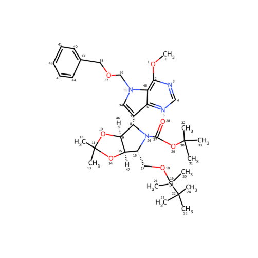 COc1ncnc2c([C@H]3[C@@H]4OC(C)(C)O[C@@H]4[C@@H](CO[Si](C)(C)C(C)(C)C)N3C(=O)OC(C)(C)C)cn(COCc3ccccc3)c12